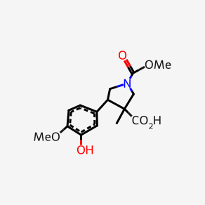 COC(=O)N1CC(c2ccc(OC)c(O)c2)C(C)(C(=O)O)C1